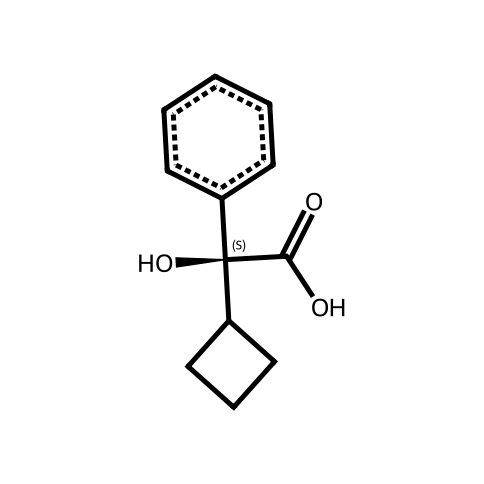 O=C(O)[C@@](O)(c1ccccc1)C1CCC1